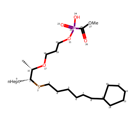 CCCCCCC[C@@H](SCCCCCCC1CCCCC1)[C@H](C)OCCCOP(=O)(O)C(=O)OC